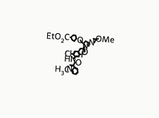 CCOC(=O)[C@H]1CC[C@H](OCC2C[C@H](N3CC(OC)C3)CN2C(=O)Cc2cc(Cl)c(NC(=O)c3cn(C)c4ccccc34)cc2F)CC1